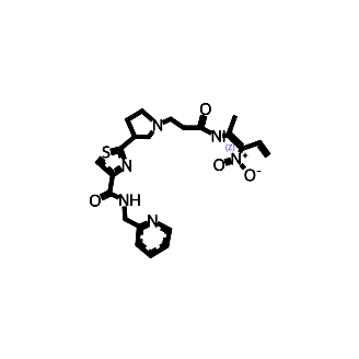 C=C/C(=C(\C)NC(=O)CCN1CCC(c2nc(C(=O)NCc3ccccn3)cs2)C1)[N+](=O)[O-]